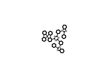 c1ccc(-c2nc3ccccc3n2-c2cccc(-c3nc(-c4cccc(-n5c(-c6ccccc6)nc6ccccc65)c4)nc(-c4cccc5c4-c4ccccc4C54c5ccccc5-c5ccccc54)n3)c2)cc1